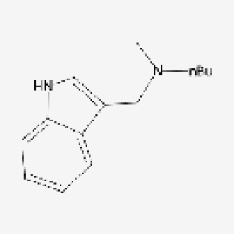 CCCCN(C)Cc1c[nH]c2ccccc12